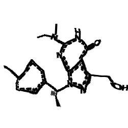 Cc1ccc([C@H](C)n2nc(CO)c3c(=O)[nH]c(N(C)C)nc32)cc1